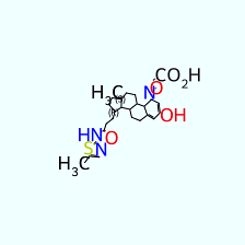 Cc1cnc(NC(=O)CC[C@H]2CC[C@@]3(C)CCC4C5C(=CC(O)=CC5=NOCC(=O)O)CCC4C23)s1